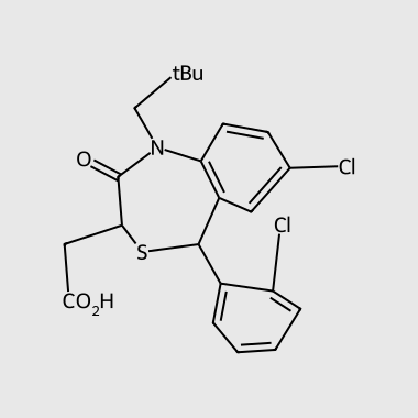 CC(C)(C)CN1C(=O)C(CC(=O)O)SC(c2ccccc2Cl)c2cc(Cl)ccc21